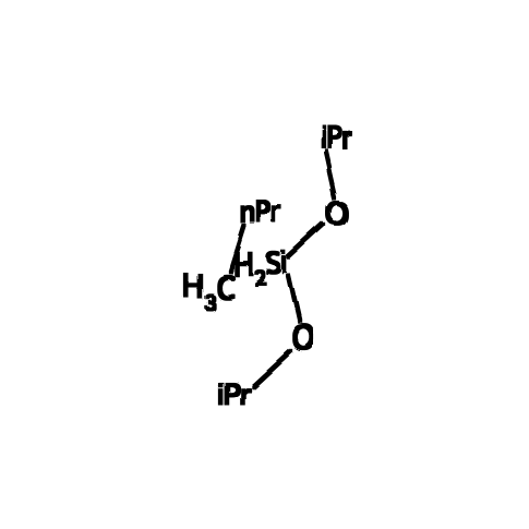 CC(C)O[SiH2]OC(C)C.CCCC